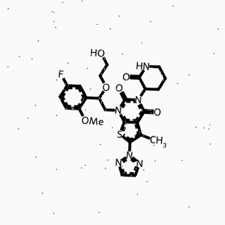 COc1ccc(F)cc1C(Cn1c(=O)n(C2CCCNC2=O)c(=O)c2c(C)c(-n3nccn3)sc21)OCCO